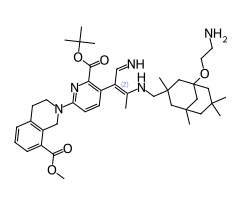 COC(=O)c1cccc2c1CN(c1ccc(/C(C=N)=C(\C)NCC3(C)CC4(C)CC(C)(C)CC(OCCN)(C3)C4)c(C(=O)OC(C)(C)C)n1)CC2